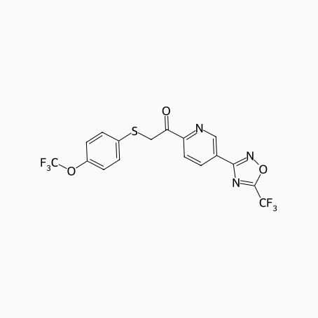 O=C(CSc1ccc(OC(F)(F)F)cc1)c1ccc(-c2noc(C(F)(F)F)n2)cn1